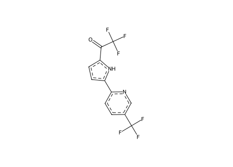 O=C(c1ccc(-c2ccc(C(F)(F)F)cn2)[nH]1)C(F)(F)F